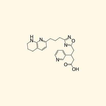 O=C(O)CC(Cc1nc(CCCc2ccc3c(n2)NCCC3)no1)c1cccnc1